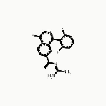 C=C(N=C(N)N)c1ccc2c(F)cnc(-c3c(F)cccc3F)c2c1